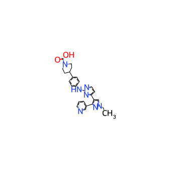 CCn1cc(-c2ccnc(Nc3ccc(C4CCN(C(=O)O)CC4)cc3)n2)c(-c2cccnc2)n1